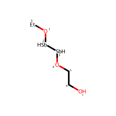 CC[O][SbH][SbH][O]CCO